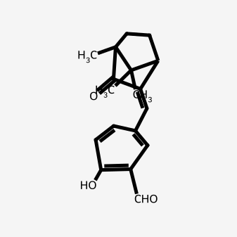 CC12CCC(C(=Cc3ccc(O)c(C=O)c3)C1=O)C2(C)C